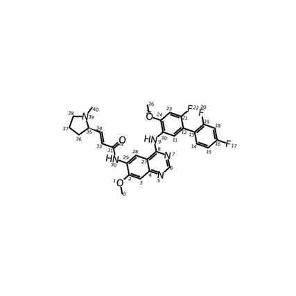 COc1cc2ncnc(Nc3cc(-c4ccc(F)cc4F)c(F)cc3OC)c2cc1NC(=O)/C=C/[C@H]1CCCN1C